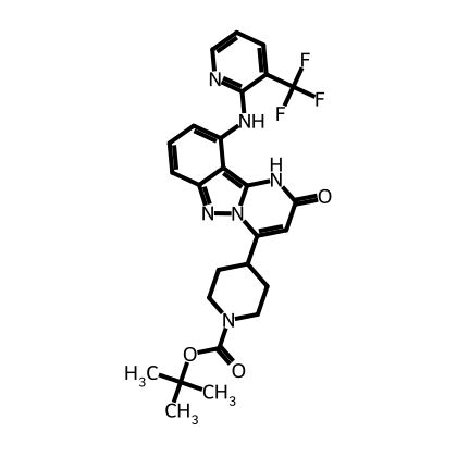 CC(C)(C)OC(=O)N1CCC(c2cc(=O)[nH]c3c4c(Nc5ncccc5C(F)(F)F)cccc4nn23)CC1